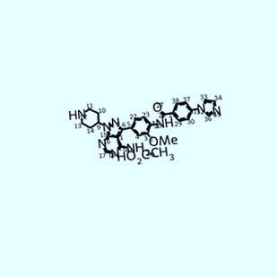 CC(=O)O.COc1cc(-c2nn(C3CCNCC3)c3ncnc(N)c23)ccc1NC(=O)c1ccc(-n2ccnc2)cc1